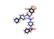 O=C(N[C@H](Cc1cc(Br)c(O)c(Br)c1)C(=O)N1CCC(c2ccncc2)CC1)N1CCC(n2c(=O)oc3ccccc32)CC1